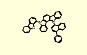 c1ccc(-c2ccc(-n3c4ccccc4c4ccc5c(c6ccccc6n5-c5cccc6c7c(oc56)C=CCC7)c43)c3ccccc23)cc#1